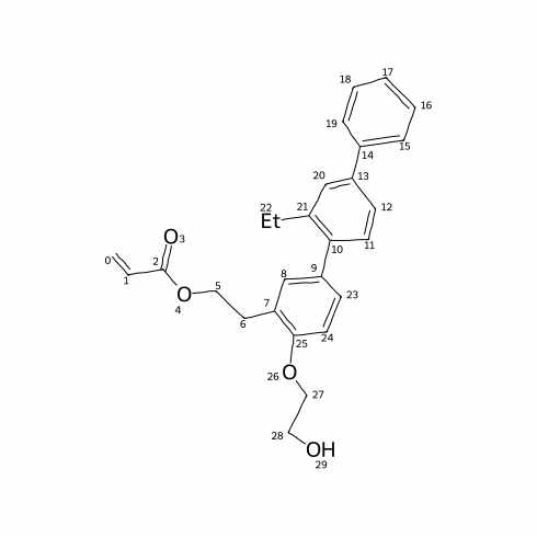 C=CC(=O)OCCc1cc(-c2ccc(-c3ccccc3)cc2CC)ccc1OCCO